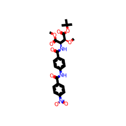 COC(=O)[C@H](NC(=O)c1ccc(NC(=O)c2ccc([N+](=O)[O-])cc2)cc1)[C@H](OC)C(=O)OC(C)(C)C